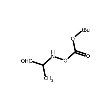 CC([C]=O)NOC(=O)OC(C)(C)C